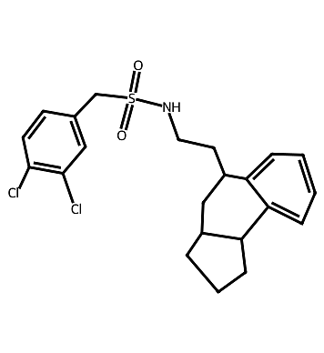 O=S(=O)(Cc1ccc(Cl)c(Cl)c1)NCCC1CC2CCCC2c2ccccc21